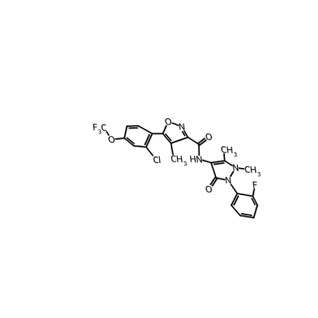 Cc1c(C(=O)Nc2c(C)n(C)n(-c3ccccc3F)c2=O)noc1-c1ccc(OC(F)(F)F)cc1Cl